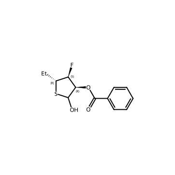 CC[C@H]1SC(O)[C@H](OC(=O)c2ccccc2)[C@@H]1F